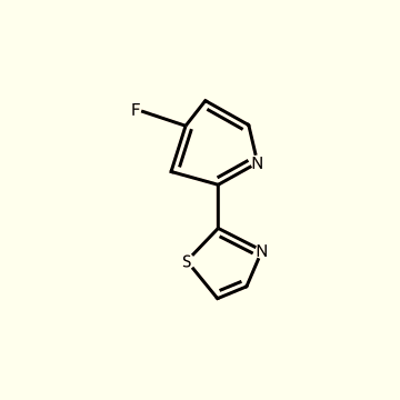 Fc1ccnc(-c2nccs2)c1